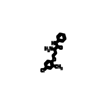 Cc1cc(Cl)ccc1OCCC(N)C(=O)Nc1ccccc1